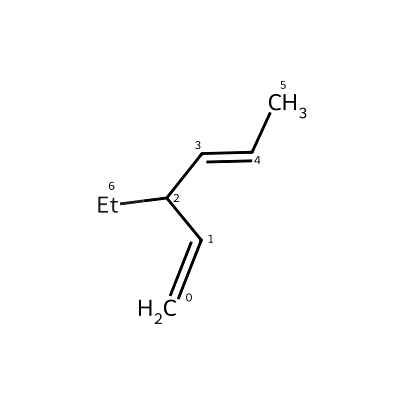 C=CC(/C=C/C)CC